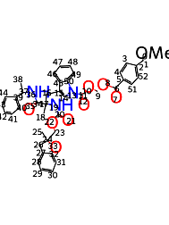 COCc1ccc(C(=O)OCOC(=O)n2cc(CC(C)(NC(=O)OCC3(C)Cc4ccccc4O3)C(=O)NC(C)c3ccccc3)c3ccccc32)cc1